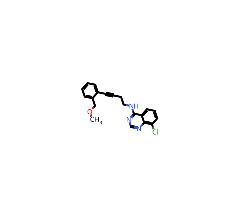 COCc1ccccc1C#CCCNc1ncnc2c(Cl)cccc12